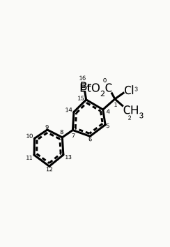 CCOC(=O)C(C)(Cl)c1ccc(-c2ccccc2)cc1Br